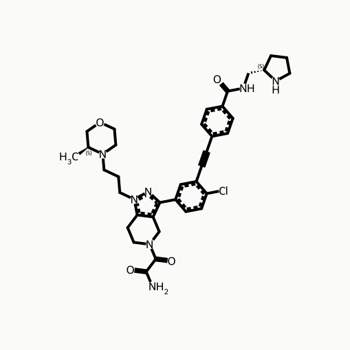 C[C@H]1COCCN1CCCn1nc(-c2ccc(Cl)c(C#Cc3ccc(C(=O)NC[C@@H]4CCCN4)cc3)c2)c2c1CCN(C(=O)C(N)=O)C2